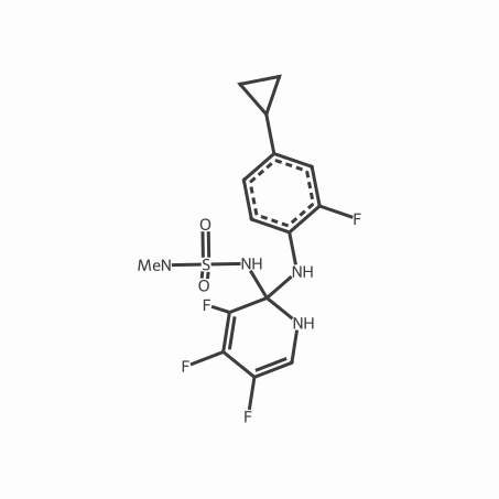 CNS(=O)(=O)NC1(Nc2ccc(C3CC3)cc2F)NC=C(F)C(F)=C1F